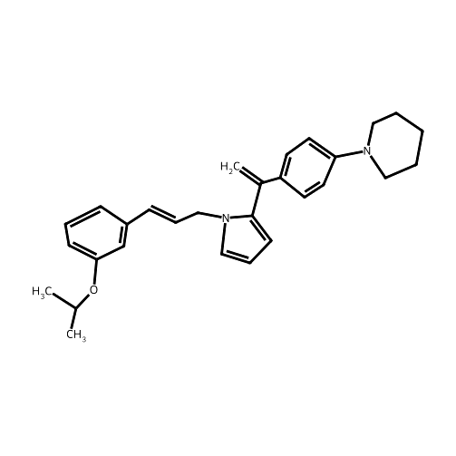 C=C(c1ccc(N2CCCCC2)cc1)c1cccn1C/C=C/c1cccc(OC(C)C)c1